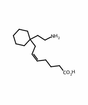 NCCC1(C/C=C\CCCC(=O)O)CCCCC1